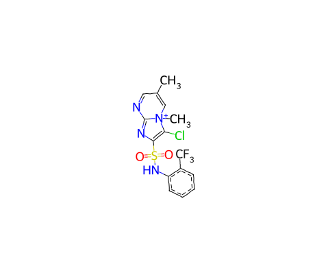 CC1=C[N+]2(C)C(=NC(S(=O)(=O)Nc3ccccc3C(F)(F)F)=C2Cl)N=C1